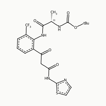 C[C@H](NC(=O)OC(C)(C)C)C(=O)Nc1c(C(=O)CC(=O)Nc2nccs2)cccc1C(F)(F)F